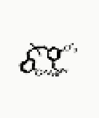 COc1cccc(CC(C)(C)Cc2cc(CC(C)C)cc(C(F)(F)F)c2)c1